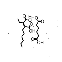 CCCCCC/C(C(=O)O)=C(\CC)C(=O)O.O=C(O)CCCCC(=O)O